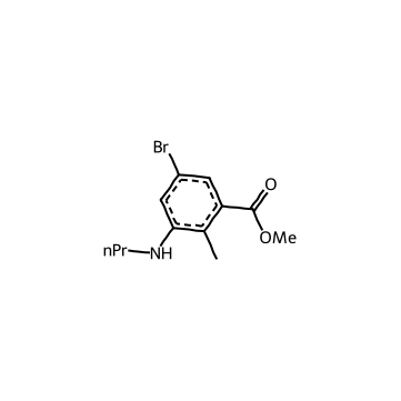 CCCNc1cc(Br)cc(C(=O)OC)c1C